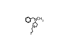 CN(Cc1ccccc1)C1CCN(CCI)C1